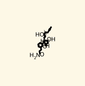 CC#CC[C@@H](C)[C@H](O)C=C[C@@H]1[C@H]2c3cccc(CCC(N)=O)c3O[C@H]2C[C@H]1O